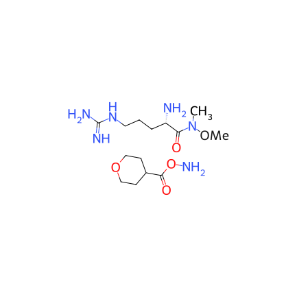 CON(C)C(=O)[C@@H](N)CCCNC(=N)N.NOC(=O)C1CCOCC1